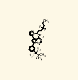 CCCC(F)(F)CCCn1nccc1-c1cc(-c2cccc(C(C)(C)N(C)C)c2)n2ncnc(N)c12